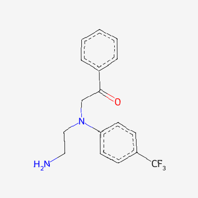 NCCN(CC(=O)c1ccccc1)c1ccc(C(F)(F)F)cc1